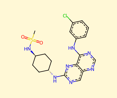 CS(=O)(=O)N[C@H]1CC[C@H](Nc2ncc3ncnc(Nc4cccc(Cl)c4)c3n2)CC1